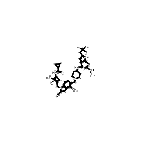 CNc1nc(NC2CCN(Cc3ccc4c(cc(C#N)n4CC45CC(NC(=O)C6CC6)(C4)[C@H]5C)c3C)CC2)c2cc(CC(F)(F)F)sc2n1